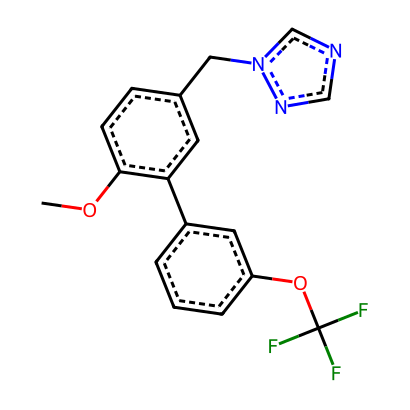 COc1ccc(Cn2cncn2)cc1-c1cccc(OC(F)(F)F)c1